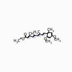 CCOC(=O)/C=C(C)/C=C/C=C(C)/C=C/c1c(C)cc(OC)cc1OC